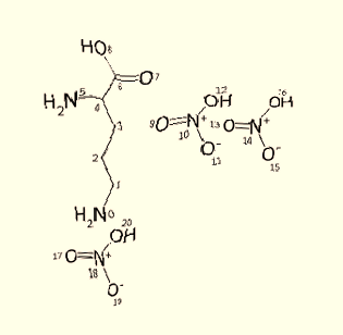 NCCCC(N)C(=O)O.O=[N+]([O-])O.O=[N+]([O-])O.O=[N+]([O-])O